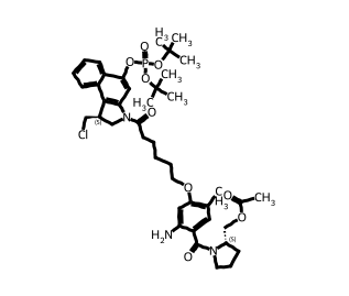 CC(=O)OC[C@@H]1CCCN1C(=O)c1cc(C)c(OCCCCCC(=O)N2C[C@@H](CCl)c3c2cc(OP(=O)(OC(C)(C)C)OC(C)(C)C)c2ccccc32)cc1N